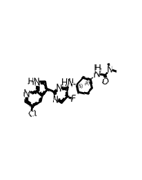 CN(C)C(=O)N[C@@H]1CCC[C@H](Nc2nc(-c3c[nH]c4ncc(Cl)cc34)ncc2F)C1